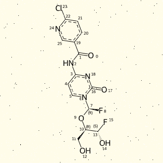 O=C(Nc1ccn([C@@H](F)O[C@H](CO)[C@@H](O)F)c(=O)n1)c1ccc(Cl)nc1